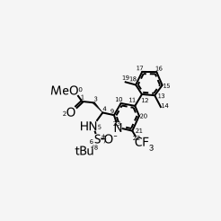 COC(=O)C[C@H](N[S@+]([O-])C(C)(C)C)c1cc(-c2c(C)cccc2C)cc(C(F)(F)F)n1